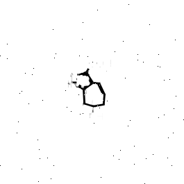 C[C@@H]1CC=Cc2c(C(=O)O)n[nH]c2C1